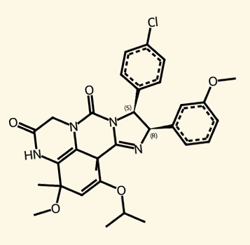 COc1cccc([C@H]2N=C3N(C(=O)N4CC(=O)NC5=C4C3(C)C(OC(C)C)=CC5(C)OC)[C@H]2c2ccc(Cl)cc2)c1